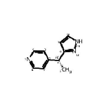 C[C@H](c1ccncc1)c1cc[nH]n1